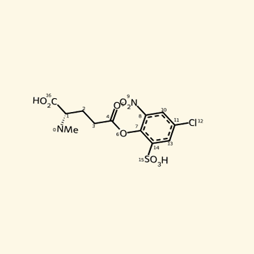 CN[C@@H](CCC(=O)Oc1c([N+](=O)[O-])cc(Cl)cc1S(=O)(=O)O)C(=O)O